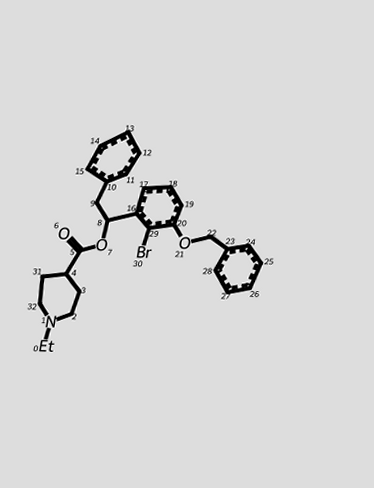 CCN1CCC(C(=O)OC(Cc2ccccc2)c2cccc(OCc3ccccc3)c2Br)CC1